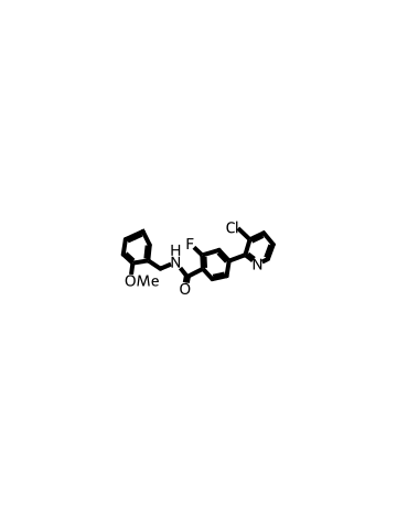 COc1ccccc1CNC(=O)c1ccc(-c2ncccc2Cl)cc1F